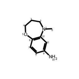 CN1CCCOc2ccc(N)cc21